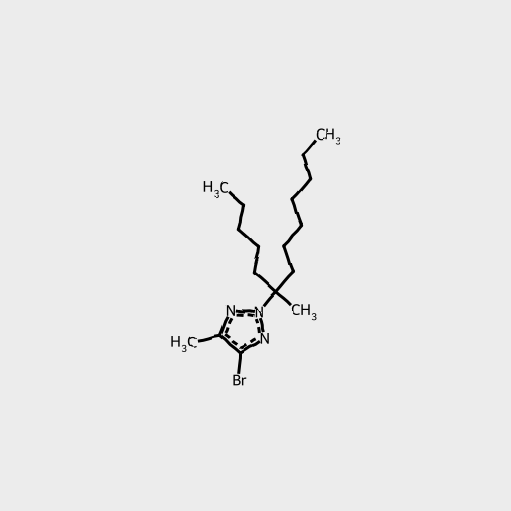 CCCCCCCC(C)(CCCCC)n1nc(C)c(Br)n1